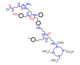 CCC(=O)NCCNC(=O)/N=C(/N)NCCC[C@@H](NC(=O)[C@H](c1ccccc1)c1ccc(NCCCNC(=O)[C@@H](CCCNC(C=O)N2CCN(CC(=O)O)CCN(CC(=O)O)CCN(CC(=O)O)CC2)NC(=O)CCCc2ccc(I)cc2)cc1)C(=O)NCc1ccc(O)cc1